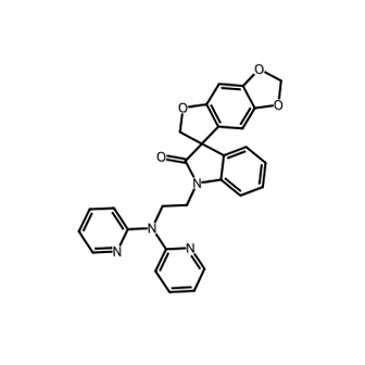 O=C1N(CCN(c2ccccn2)c2ccccn2)c2ccccc2C12COc1cc3c(cc12)OCO3